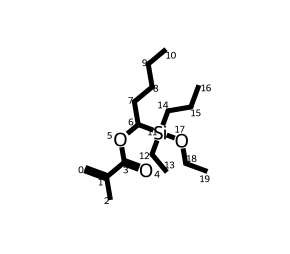 C=C(C)C(=O)OC(CCCC)[Si](CC)(CCC)OCC